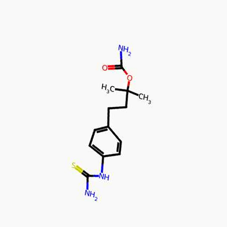 CC(C)(CCc1ccc(NC(N)=S)cc1)OC(N)=O